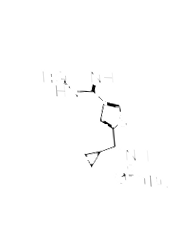 CC(C)(C)[S@+]([O-])N[C@@H](c1cc(C(=N)NO)cs1)C1CC1